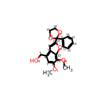 COc1cc(CO)c2cc(C3(c4ccccc4)OCCO3)oc2c1OC